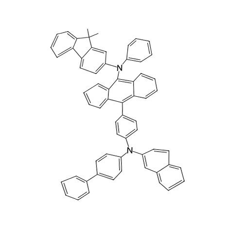 CC1(C)c2ccccc2-c2ccc(N(c3ccccc3)c3c4ccccc4c(-c4ccc(N(c5ccc(-c6ccccc6)cc5)c5ccc6ccccc6c5)cc4)c4ccccc34)cc21